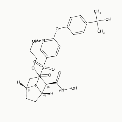 COCCOC(=O)N1[C@@H]2CC[C@H]1[C@H](C(=O)NO)N(S(=O)(=O)c1ccc(Oc3ccc(C(C)(C)O)cc3)nc1)C2